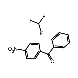 FC(F)F.O=C(c1ccccc1)c1ccc([N+](=O)[O-])cc1